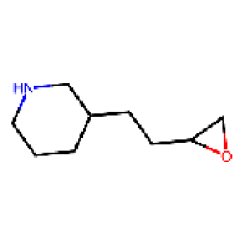 C1CNCC(CCC2CO2)C1